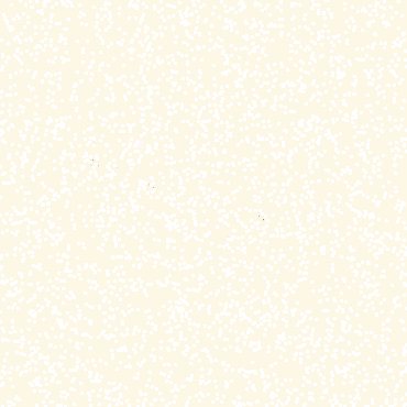 CS(=O)(=O)O.Cc1oc(-c2ccccc2)nc1C(=O)COc1ccc(/C=C2/SC(=O)NC2=O)nc1